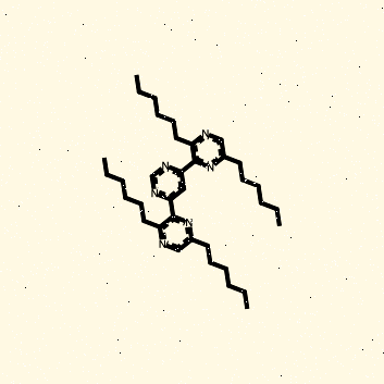 CCCCCCc1cnc(CCCCCC)c(-c2cc(-c3nc(CCCCCC)cnc3CCCCCC)ncn2)n1